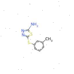 Cc1cccc(Sc2nnc(N)s2)c1